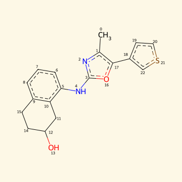 Cc1nc(Nc2cccc3c2CC(O)CC3)oc1-c1ccsc1